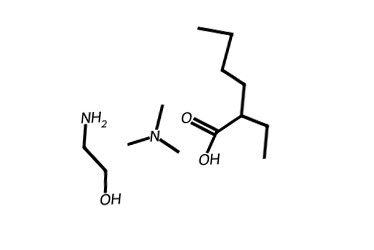 CCCCC(CC)C(=O)O.CN(C)C.NCCO